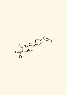 COc1ccc(COc2nc(F)c([N+](=O)[O-])cc2F)cc1